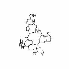 CC[C@@H]1CN(Cc2cc([C@H](c3ccc4c(nnn4C)c3C)C(C)(C)C(=O)OC)cc3ccsc23)Cc2nc(O)ccc2O1